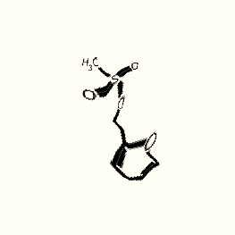 CS(=O)(=O)OCc1ccco1